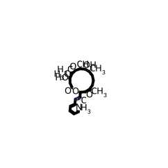 C/C(=C\c1ccccn1)C1OC(=O)CC(O)C(C)(C)C(=O)C(C)C(O)C(C)CCCC2(C)OC12